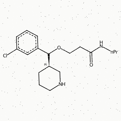 CCCNC(=O)CCOC(c1cccc(Cl)c1)[C@@H]1CCCNC1